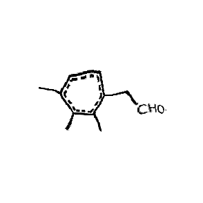 Cc1ccc(C[C]=O)c(C)c1C